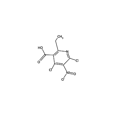 CCc1nc(Cl)c([N+](=O)[O-])c(Cl)c1C(=O)O